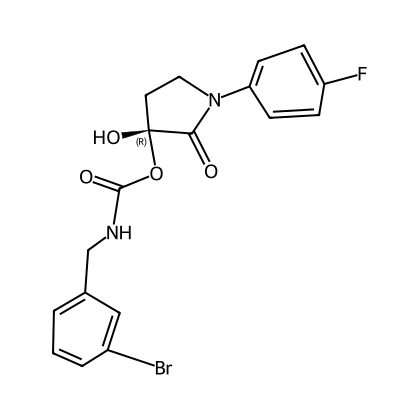 O=C(NCc1cccc(Br)c1)O[C@]1(O)CCN(c2ccc(F)cc2)C1=O